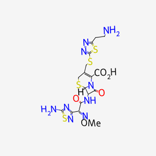 CON=C(C(=O)NC1C(=O)N2C(C(=O)O)=C(CSc3nnc(CCN)s3)CS[C@@H]12)c1nsc(N)n1